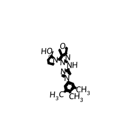 Cc1cc(-n2cnc(Nc3nc4c(c(N5CCC[C@H]5CO)n3)COC4)c2)cc(C)c1C